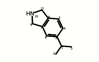 CC(C)c1ccc2c(c1)CNC2